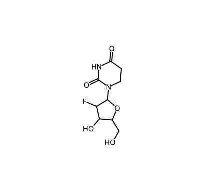 O=C1CCN(C2OC(CO)C(O)C2F)C(=O)N1